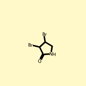 O=C1NCC(Br)C1Br